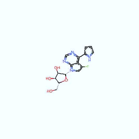 OC[C@H]1O[C@@H](n2cc(F)c3c(-c4ccc[nH]4)ncnc32)C(O)[C@@H]1O